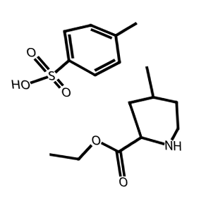 CCOC(=O)C1CC(C)CCN1.Cc1ccc(S(=O)(=O)O)cc1